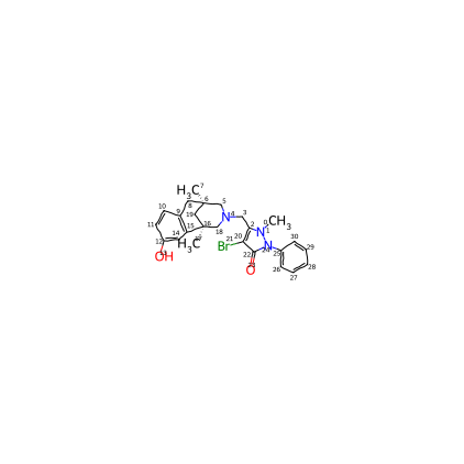 Cn1c(CN2C[C@]3(C)Cc4ccc(O)cc4[C@](C)(C2)C3)c(Br)c(=O)n1-c1ccccc1